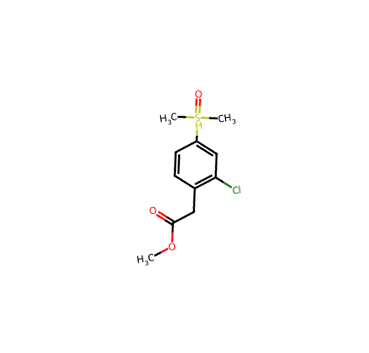 COC(=O)Cc1ccc([SH](C)(C)=O)cc1Cl